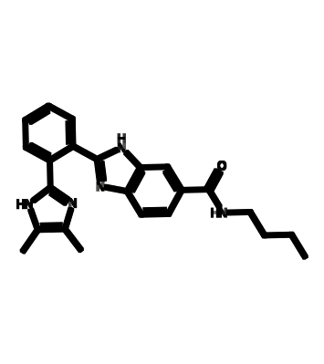 CCCCNC(=O)c1ccc2nc(-c3ccccc3-c3nc(C)c(C)[nH]3)[nH]c2c1